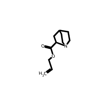 C=CCOC(=O)C1CC2CCN1CC2